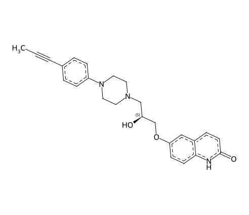 CC#Cc1ccc(N2CCN(C[C@H](O)COc3ccc4[nH]c(=O)ccc4c3)CC2)cc1